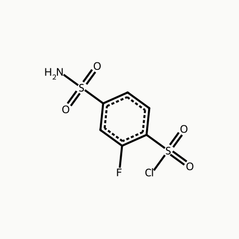 NS(=O)(=O)c1ccc(S(=O)(=O)Cl)c(F)c1